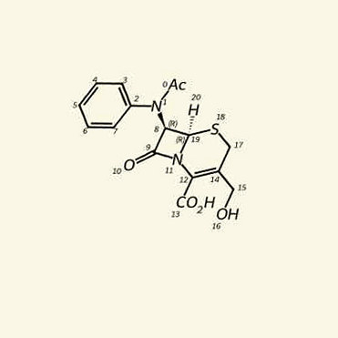 CC(=O)N(c1ccccc1)[C@@H]1C(=O)N2C(C(=O)O)=C(CO)CS[C@H]12